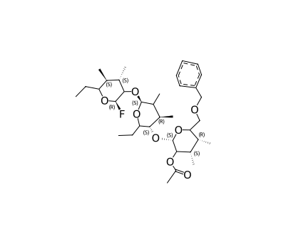 CCC1O[C@H](F)C(O[C@@H]2OC(CC)[C@@H](O[C@@H]3OC(COCc4ccccc4)[C@H](C)[C@H](C)C3OC(C)=O)[C@H](C)C2C)[C@@H](C)[C@@H]1C